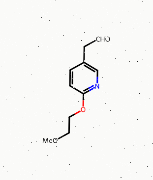 COCCOc1ccc(CC=O)cn1